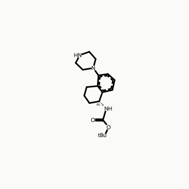 CC(C)(C)OC(=O)N[C@@H]1CCCc2c1cccc2N1CCNCC1